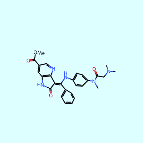 COC(=O)c1cnc2c(c1)NC(=O)C2=C(Nc1ccc(N(C)C(=O)CN(C)C)cc1)c1ccccc1